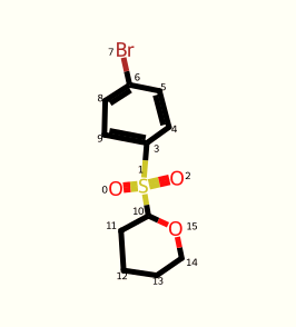 O=S(=O)(c1ccc(Br)cc1)C1CCCCO1